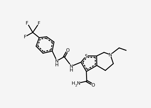 CCN1CCc2c(sc(NC(=O)Nc3ccc(C(F)(F)F)cc3)c2C(N)=O)C1